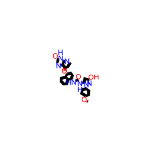 COc1ccc(-n2nc(O)cc2NC(=O)Nc2ccc(Oc3ccnc4[nH]c(=O)cnc34)c3ccccc23)cc1